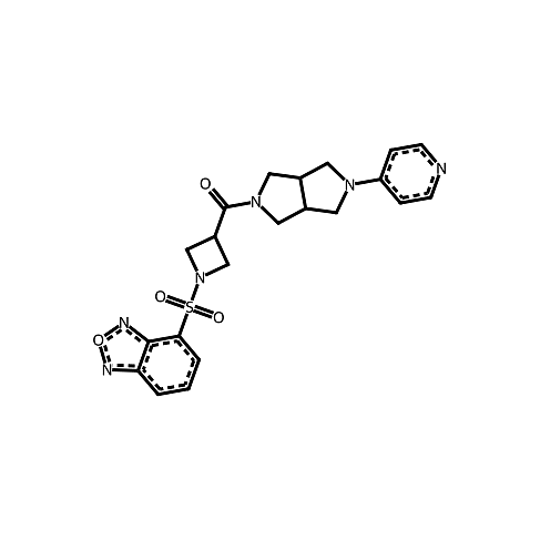 O=C(C1CN(S(=O)(=O)c2cccc3nonc23)C1)N1CC2CN(c3ccncc3)CC2C1